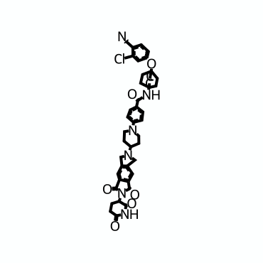 N#Cc1ccc(OC23CCC(NC(=O)c4ccc(N5CCC(N6Cc7cc8c(cc7C6)C(=O)N(C6CCC(=O)NC6=O)C8=O)CC5)cc4)(CC2)CC3)cc1Cl